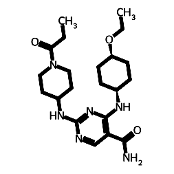 CCO[C@H]1CC[C@@H](Nc2nc(NC3CCN(C(=O)CC)CC3)ncc2C(N)=O)CC1